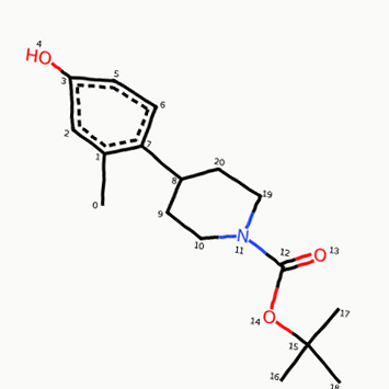 Cc1cc(O)ccc1C1CCN(C(=O)OC(C)(C)C)CC1